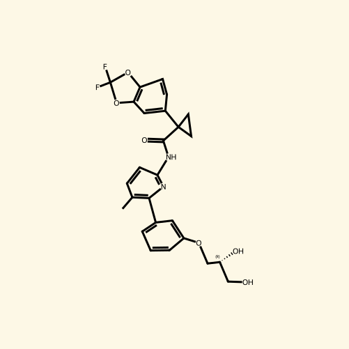 Cc1ccc(NC(=O)C2(c3ccc4c(c3)OC(F)(F)O4)CC2)nc1-c1cccc(OC[C@H](O)CO)c1